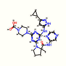 CC1(C(=O)Nc2cnccn2)CCCN1c1nc(Nc2cc(C3CC3)n[nH]2)nc(N2CCN(C(=O)O)CC2)n1